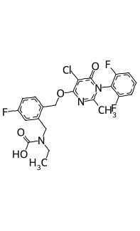 CCN(Cc1cc(F)ccc1COc1nc(C)n(-c2c(F)cccc2F)c(=O)c1Cl)C(=O)O